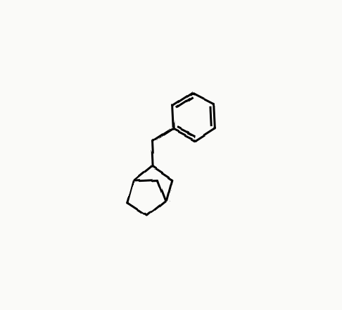 c1ccc(CC2C[C]3CCC2C3)cc1